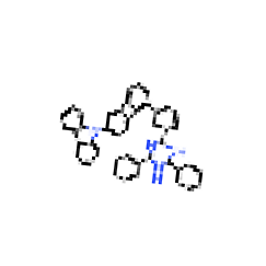 C1=CC(C2N=C(c3ccccc3)NC(c3ccccc3)N2)CC(c2cccc3c2-c2ccc(-n4c5ccccc5c5ccccc54)cc2-3)=C1